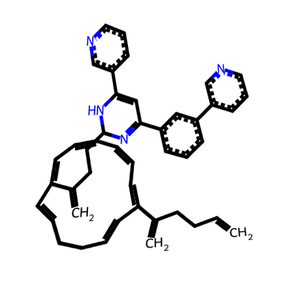 C=CCCC(=C)C1=C\C=C/C=C\C=C(C(=C)CCC2N=C(c3cccc(-c4cccnc4)c3)C=C(c3cccnc3)N2)\C=C\CC\C=C\1